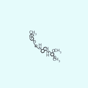 COc1ccc(CNc2nccc3c(NCC45CC(COc6ccn7cc(C)nc7c6)(C4)C5)cccc23)c(OC)c1